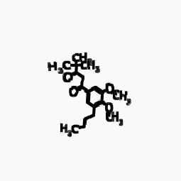 CCCCc1cc(C(=O)CC(=O)C(C)(C)C)cc(OC)c1OC